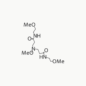 COCCNC(=O)CCN(CCC(=O)NCCOC)OC